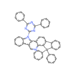 c1ccc(-c2nc(-c3ccccc3)nc(-n3c4ccccc4c4cnc5c6c(ccc5c43)-c3ccccc3[Si]6(c3ccccc3)c3ccccc3)n2)cc1